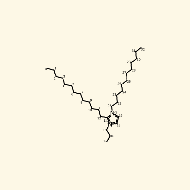 CCCCCCCCCCCCCc1n(CCC)cc[n+]1CCCCCCCCCCCC